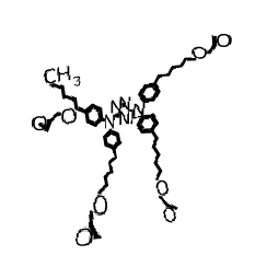 CCCCCC(OCC1CO1)c1ccc(N(c2ccc(CCCCCCOCC3CO3)cc2)c2nnc(N(c3ccc(CCCCCCOCC4CO4)cc3)c3ccc(CCCCCCOCC4CO4)cc3)[nH]2)cc1